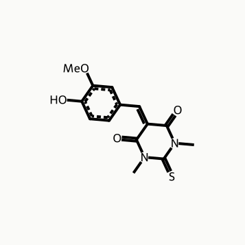 COc1cc(C=C2C(=O)N(C)C(=S)N(C)C2=O)ccc1O